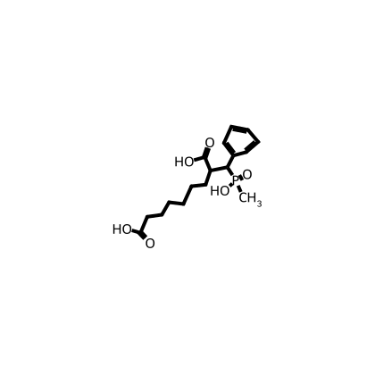 CP(=O)(O)C(c1ccccc1)C(CCCCCCC(=O)O)C(=O)O